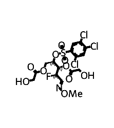 CON=C[C@@H](F)[C@H](OC(=O)CO)[C@@H](COC(=O)CO)OS(=O)(=O)c1cc(Cl)c(Cl)cc1Cl